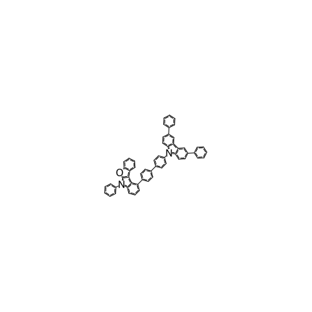 c1ccc(-c2ccc3c(c2)c2cc(-c4ccccc4)ccc2n3-c2ccc(-c3ccc(-c4cccc5c4c4c6ccccc6oc4n5-c4ccccc4)cc3)cc2)cc1